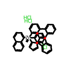 Cl.Cl.[CH2]=[Zr]([C]1=CC=CC1)([c]1cccc(Cl)c1)([c]1cccc2ccccc12)[c]1cccc2c1c1c(c3ccccc32)-c2ccccc2C1